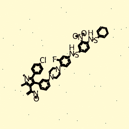 C=C(N=O)c1c(-c2cccc(N3CCN(c4ccc(NSc5ccc(NSC6=CCCC=C6)c([N+](=O)[O-])c5)cc4F)CC3)c2)c(-c2ccc(Cl)cc2)n(C)c1C